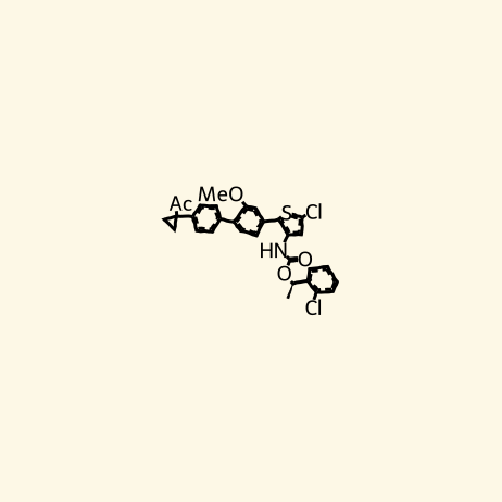 COc1cc(-c2sc(Cl)cc2NC(=O)O[C@H](C)c2ccccc2Cl)ccc1-c1ccc(C2(C(C)=O)CC2)cc1